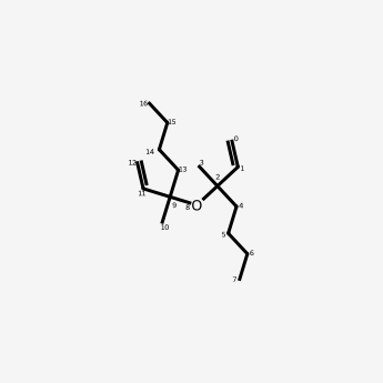 C=CC(C)(CCCC)OC(C)(C=C)CCCC